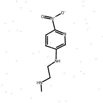 CNCCNc1ccc([N+](=O)[O-])nc1